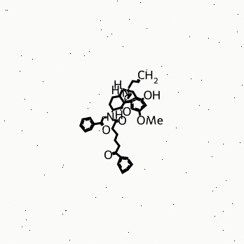 C=CCN1CC[C@]23c4c5c(O)cc(OC)c4O[C@H]2[C@@H](N(CC(=O)c2ccccc2)C(=O)CCCCC(=O)c2ccccc2)CC[C@H]3[C@H]1C5